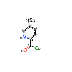 CC(C)(C)c1ccc(C(=O)Cl)nc1